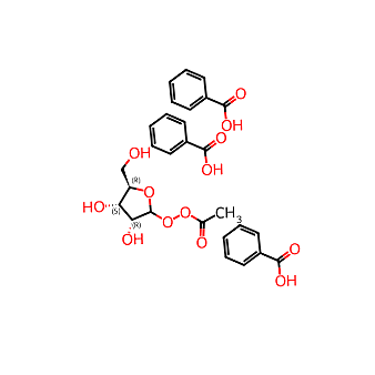 CC(=O)OOC1O[C@H](CO)[C@@H](O)[C@H]1O.O=C(O)c1ccccc1.O=C(O)c1ccccc1.O=C(O)c1ccccc1